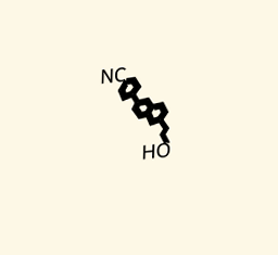 N#Cc1ccc(-c2ccc3cc(CCCO)ccc3c2)cc1